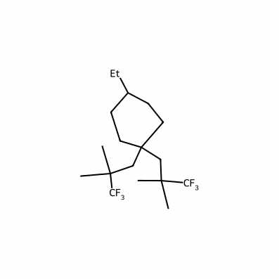 CCC1CCC(CC(C)(C)C(F)(F)F)(CC(C)(C)C(F)(F)F)CC1